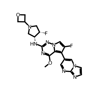 COc1nc(N[C@@H]2CN(C3COC3)C[C@@H]2F)nn2cc(F)c(-c3cnc4nccn4c3)c12